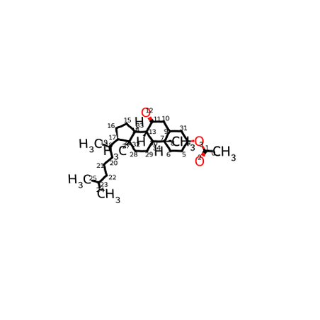 CC(=O)O[C@H]1CC[C@@]2(C)C(CC(=O)[C@H]3[C@@H]4CC[C@H]([C@H](C)CCCC(C)C)[C@@]4(C)CC[C@@H]32)C1